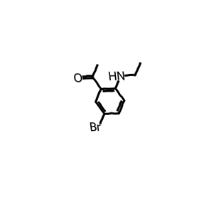 CCNc1ccc(Br)cc1C(C)=O